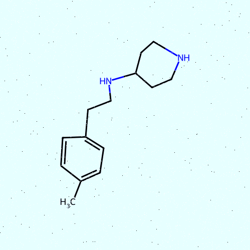 Cc1ccc(CCNC2CCNCC2)cc1